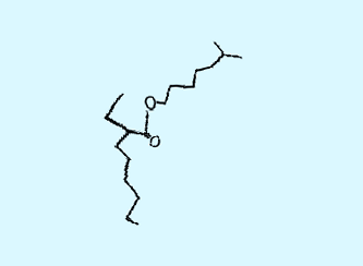 CCCCCCC(CC)C(=O)OCCCCCC(C)C